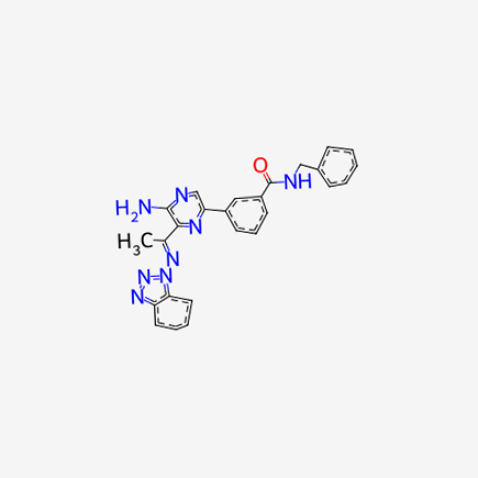 C/C(=N\n1nnc2ccccc21)c1nc(-c2cccc(C(=O)NCc3ccccc3)c2)cnc1N